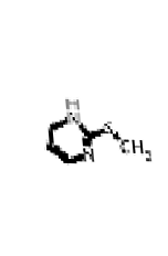 CSC1=NC=[C]CN1